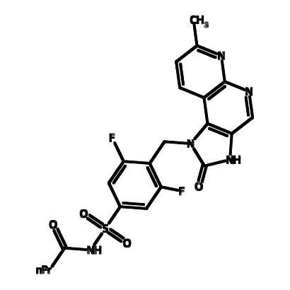 CCCC(=O)NS(=O)(=O)c1cc(F)c(Cn2c(=O)[nH]c3cnc4nc(C)ccc4c32)c(F)c1